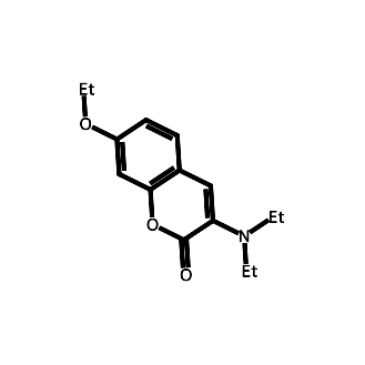 CCOc1ccc2cc(N(CC)CC)c(=O)oc2c1